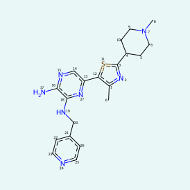 Cc1nc(C2CCN(C)CC2)sc1-c1cnc(N)c(NCc2ccncc2)n1